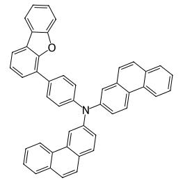 c1ccc2c(c1)ccc1cc(N(c3ccc(-c4cccc5c4oc4ccccc45)cc3)c3ccc4ccc5ccccc5c4c3)ccc12